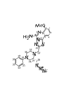 COc1cccc2c1nc(N)n1nc(CN3CCN(c4ccccc4)C[C@H]3CN=[N+]=[N-])nc21